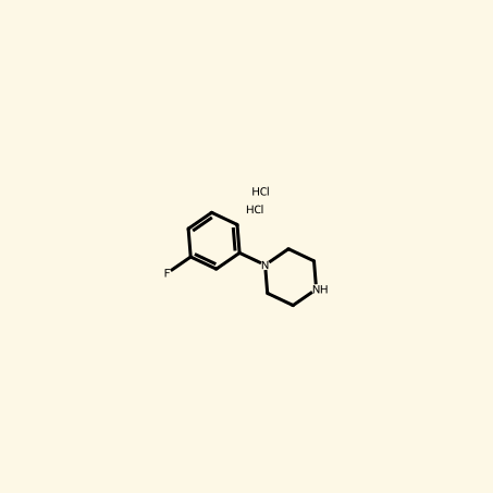 Cl.Cl.Fc1cccc(N2CCNCC2)c1